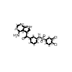 Nc1ncnc2[nH]cc(C(=O)c3cccc(NS(=O)(=O)c4ccc(Cl)c(Cl)c4)c3)c12